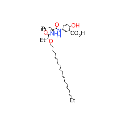 CCC=CCC=CCC=CCC=CCC=CCCCCOC(CC)C(=O)N[C@@H](CC(C)C)C(=O)Nc1ccc(O)c(C(=O)O)c1